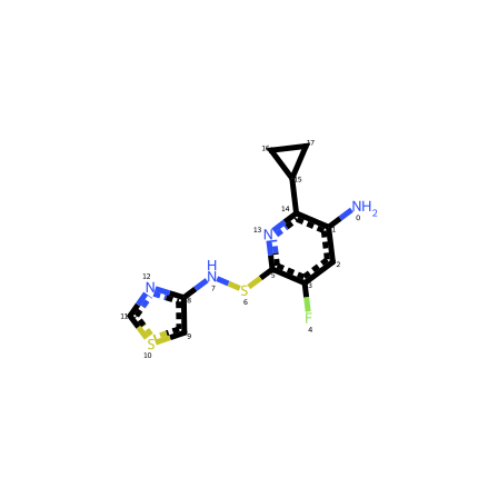 Nc1cc(F)c(SNc2cscn2)nc1C1CC1